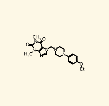 CCOc1ccc(N2CCN(Cn3cnc4c3c(=O)n(C)c(=O)n4C)CC2)cc1